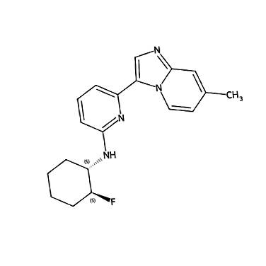 Cc1ccn2c(-c3cccc(N[C@H]4CCCC[C@@H]4F)n3)cnc2c1